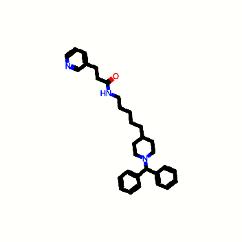 O=C(CCc1cccnc1)NCCCCCC1CCN(C(c2ccccc2)c2ccccc2)CC1